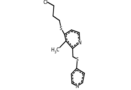 Cc1c(SCCCCl)ccnc1CSc1ccncc1